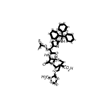 Cn1nnnc1SCC1(C(=O)O)CS[C@@H]2C(NC(=O)C(=NOC(F)F)c3csc(NC(c4ccccc4)(c4ccccc4)c4ccccc4)n3)C(=O)N2C1